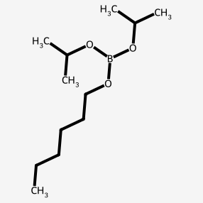 CCCCCCOB(OC(C)C)OC(C)C